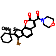 COC1(c2[se]c3c(ccc4cc(C(=O)N5CCOCC5)c(=O)oc43)c2Br)CCCCC1